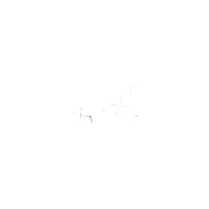 CCC[N+](CC)(CCC)CCSC(=O)C(C)(C)C